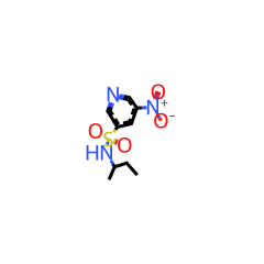 CCC(C)NS(=O)(=O)c1cncc([N+](=O)[O-])c1